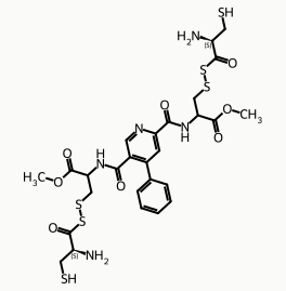 COC(=O)C(CSSC(=O)[C@@H](N)CS)NC(=O)c1cc(-c2ccccc2)c(C(=O)NC(CSSC(=O)[C@@H](N)CS)C(=O)OC)cn1